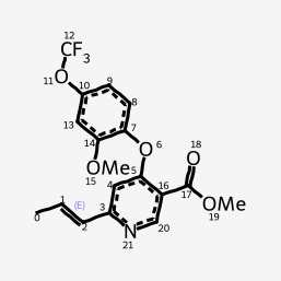 C/C=C/c1cc(Oc2ccc(OC(F)(F)F)cc2OC)c(C(=O)OC)cn1